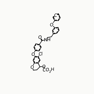 O=C(O)OC1CCOc2cc(Oc3ccc(C(=O)NCCc4cccc(Oc5ccccc5)c4)cc3)c(Cl)cc21